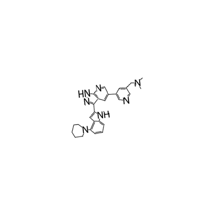 CN(C)Cc1cncc(-c2cnc3[nH]nc(-c4cc5c(N6CCCCC6)cccc5[nH]4)c3c2)c1